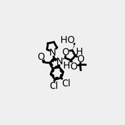 CC1(C)O[C@@H]2[C@H](O1)[C@@H](CO)O[C@H]2n1c(N2CCCC2)c(C=O)c2cc(Cl)c(Cl)cc21